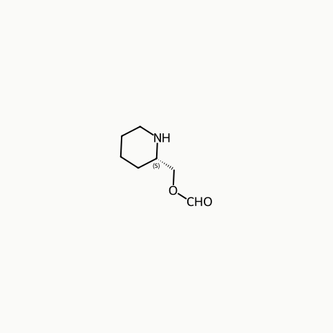 O=COC[C@@H]1CCCCN1